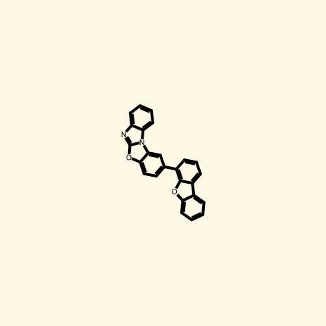 c1ccc2c(c1)nc1oc3ccc(-c4cccc5c4oc4ccccc45)cc3n12